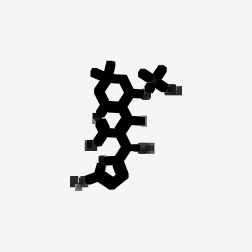 CC(C)c1nc2c(c(I)c1[C@@H](O)c1ccc(C(F)(F)F)s1)C(O[Si](C)(C)C(C)(C)C)CC(C)(C)C2